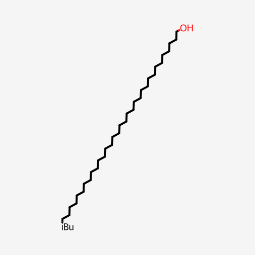 CCC(C)CCCCCCCCCCCCCCCCCCCCCCCCCCCCCCCCCO